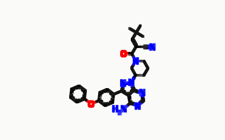 CC(C)(C)/C=C(\C#N)C(=O)N1CCC[C@@H](n2nc(-c3ccc(Oc4ccccc4)cc3)c3c(N)ncnc32)C1